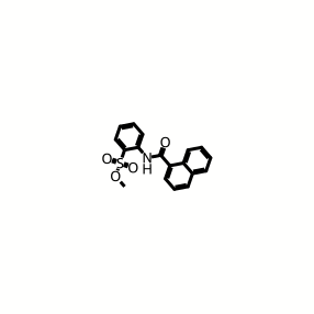 COS(=O)(=O)c1ccccc1NC(=O)c1cccc2ccccc12